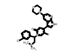 CN(C)CC(c1cccc(Cl)c1)n1cc(F)c(-c2c[nH]c3ncc(N4CCOCC4)cc23)cc1=O